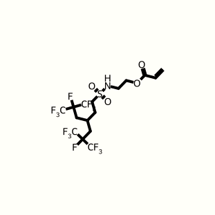 C=CC(=O)OCCNS(=O)(=O)CCC(CC(F)(C(F)(F)F)C(F)(F)F)CC(F)(C(F)(F)F)C(F)(F)F